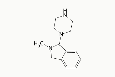 CN1Cc2ccccc2[C]1N1CCNCC1